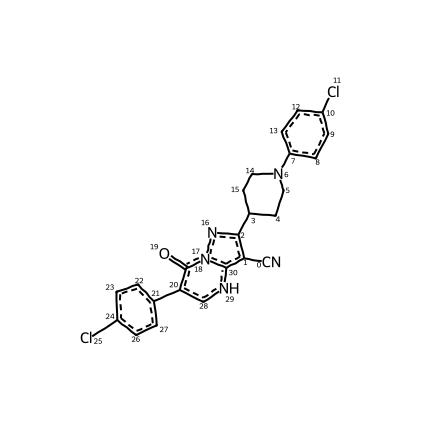 N#Cc1c(C2CCN(c3ccc(Cl)cc3)CC2)nn2c(=O)c(-c3ccc(Cl)cc3)c[nH]c12